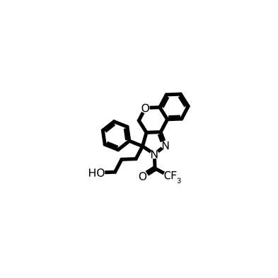 O=C(N1N=C2c3ccccc3OCC2C1(CCCO)c1ccccc1)C(F)(F)F